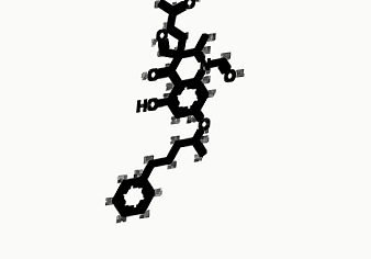 CC(=O)CCC1(C=O)C(=O)c2c(O)cc(OC(C)CCCc3ccccc3)cc2N(C=O)C1C